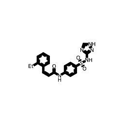 CCc1ccccc1/C=C\C(=O)Nc1ccc(S(=O)(=O)Nc2nc[nH]n2)cc1